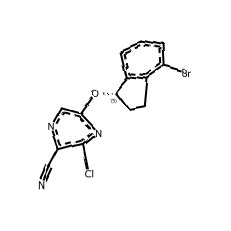 N#Cc1ncc(O[C@H]2CCc3c(Br)cccc32)nc1Cl